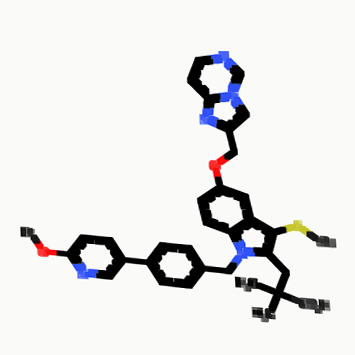 CCOc1ccc(-c2ccc(Cn3c(CC(C)(C)C(=O)O)c(SC(C)(C)C)c4cc(OCc5cn6cnccc6n5)ccc43)cc2)cn1